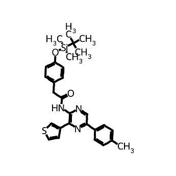 Cc1ccc(-c2cnc(NC(=O)Cc3ccc(O[Si](C)(C)C(C)(C)C)cc3)c(-c3ccsc3)n2)cc1